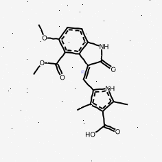 COC(=O)c1c(OC)ccc2c1/C(=C/c1[nH]c(C)c(C(=O)O)c1C)C(=O)N2